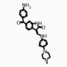 CN1CCN(c2ccc(NC=C3C(=O)Nc4cc(C(=O)c5ccc(N)cc5)ccc43)cc2)CC1